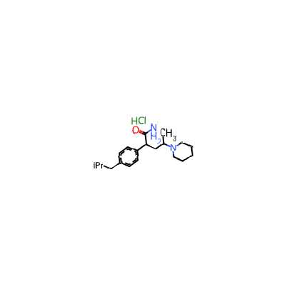 CC(C)Cc1ccc(C(CC(C)N2CCCCC2)C(N)=O)cc1.Cl